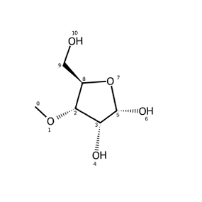 CO[C@H]1[C@@H](O)[C@@H](O)O[C@@H]1CO